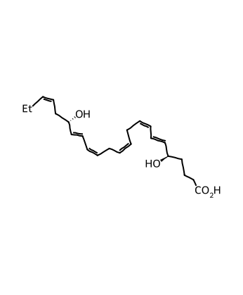 CC/C=C\C[C@H](O)/C=C/C=C\C/C=C\C/C=C\C=C\[C@H](O)CCCC(=O)O